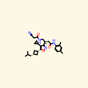 Cc1ccc(NC(=O)C[C@H](CNC(=O)CC#N)c2noc([C@H]3C[C@@H](CC(C)C)C3)c2C2CC2)c(C)c1